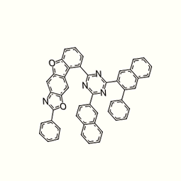 c1ccc(-c2nc3cc4oc5cccc(-c6nc(-c7ccc8ccccc8c7)nc(-c7cc8ccccc8cc7-c7ccccc7)n6)c5c4cc3o2)cc1